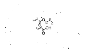 C=CC(=O)O.C=CC(=O)OCCC